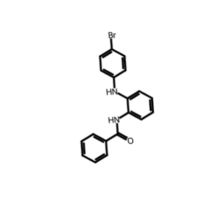 O=C(Nc1ccccc1Nc1ccc(Br)cc1)c1ccccc1